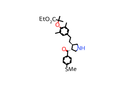 CCOC(=O)C(C)(C)Oc1c(C)cc(CC[C@H]2CNC[C@@H]2C(=O)c2ccc(SC)cc2)cc1C